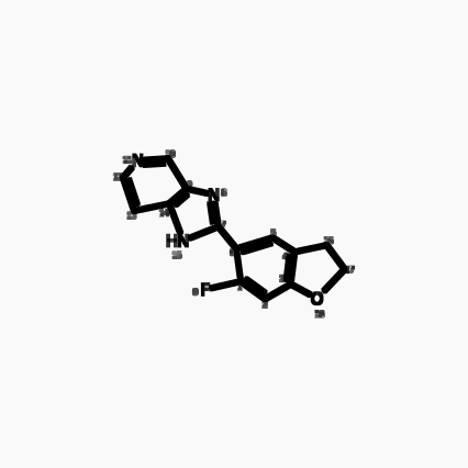 Fc1cc2c(cc1-c1nc3cnccc3[nH]1)CCO2